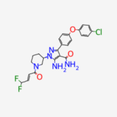 NC(=O)c1c(-c2ccc(Oc3ccc(Cl)cc3)cc2)nn([C@@H]2CCCN(C(=O)C=CC(F)F)C2)c1N